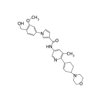 COc1cc(-n2ccc(C(=O)Nc3cnc(C4=CCC(N5CCOCC5)CC4)c(C)c3)c2)ccc1CO